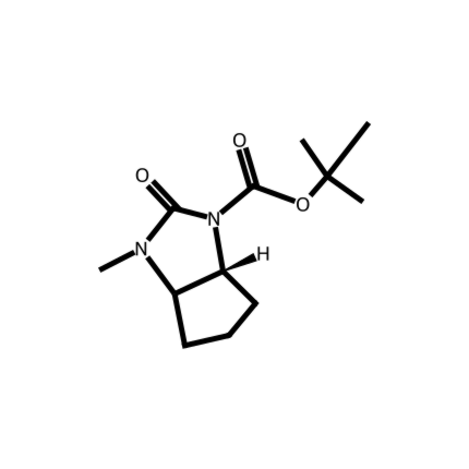 CN1C(=O)N(C(=O)OC(C)(C)C)[C@@H]2CCCC21